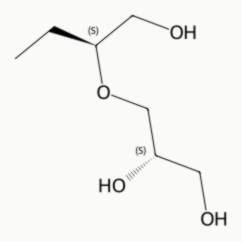 CC[C@@H](CO)OC[C@@H](O)CO